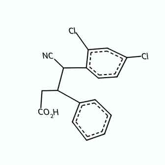 N#CC(c1ccc(Cl)cc1Cl)C(CC(=O)O)c1ccccc1